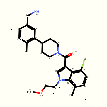 Cc1ccc(CN)cc1C1CCN(C(=O)c2cn(CCOC(F)(F)F)c3c(C)ccc(F)c23)CC1